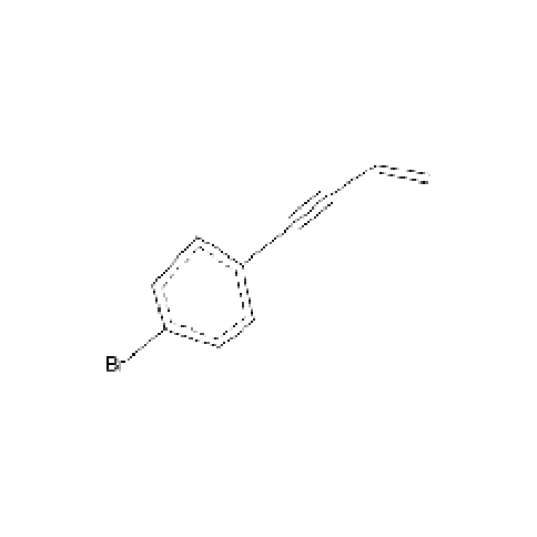 C=CC#Cc1ccc(Br)cc1